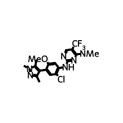 CNc1nc(Nc2cc(OC)c(-c3c(C)nn(C)c3C)cc2Cl)ncc1C(F)(F)F